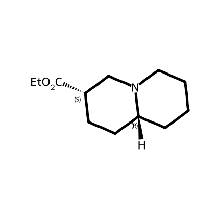 CCOC(=O)[C@H]1CC[C@H]2CCCCN2C1